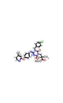 COC(=O)C(C)(C)Cn1c(=O)[nH]/c(=N\c2ccc(Oc3cc(C(F)(F)F)ccn3)cc2)n(Cc2ccc(Cl)cc2)c1=O